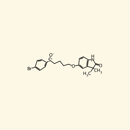 CC1(C)C(=O)Nc2ccc(OCCCC[S+]([O-])c3ccc(Br)cc3)cc21